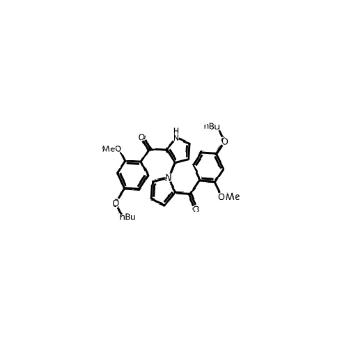 CCCCOc1ccc(C(=O)c2[nH]ccc2-n2cccc2C(=O)c2ccc(OCCCC)cc2OC)c(OC)c1